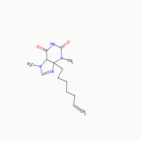 C=CCCCCCC12N=CN(C)C1C(=O)NC(=O)N2C